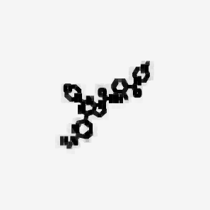 Cc1c(NC(=O)N2CCc3c(C4=CC#CC(N)N=C4)nc(N4CCOCC4)nc32)cccc1C(=O)N1CCN(C)CC1